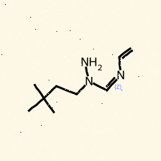 C=C/N=C\N(N)CCC(C)(C)C